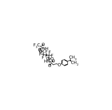 C=C(C)c1ccc(OCCS(=O)(=O)NS(=O)(=O)C(F)(F)C(F)(F)C(F)(F)S(=O)(=O)NS(=O)(=O)C(F)(F)F)cc1